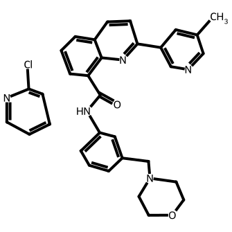 Cc1cncc(-c2ccc3cccc(C(=O)Nc4cccc(CN5CCOCC5)c4)c3n2)c1.Clc1ccccn1